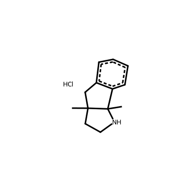 CC12CCNC1(C)c1ccccc1C2.Cl